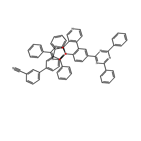 N#Cc1cccc(-c2ccc3c(c2)c2ccccc2n3-c2ccc(-c3nc(-c4ccccc4)nc(-c4ccccc4)n3)cc2-c2ccncc2-c2nc(-c3ccccc3)nc(-c3ccccc3)n2)c1